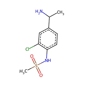 CC(N)c1ccc(NS(C)(=O)=O)c(Cl)c1